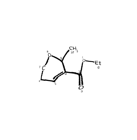 CCOC(=O)C1=CCCOC1C